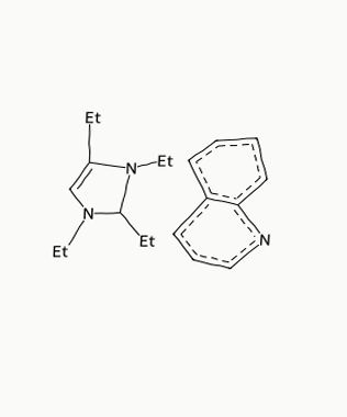 CCC1=CN(CC)C(CC)N1CC.c1ccc2ncccc2c1